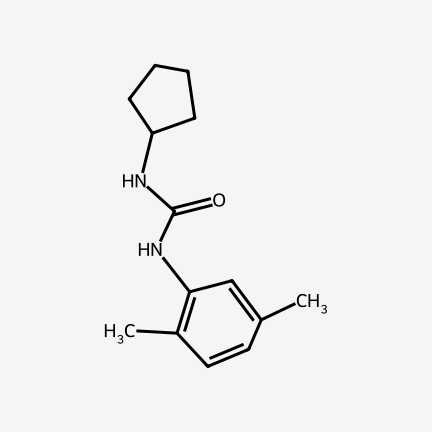 Cc1ccc(C)c(NC(=O)NC2CCCC2)c1